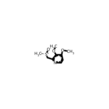 COc1ccnc(C[S@+](C)[O-])c1OC